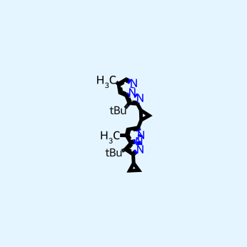 Cc1cnn2nc(C3CC3c3cc(C)c4c(C(C)(C)C)c(C5CC5)nn4n3)c(C(C)(C)C)c2c1